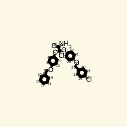 CC(Oc1ccc(OCc2ccccc2)cc1)(Oc1ccc(OCc2ccc(Cl)cc2)cc1)C(N)=O